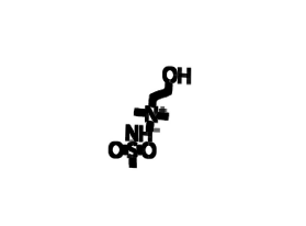 CS([NH-])(=O)=O.C[N+](C)(C)CCO